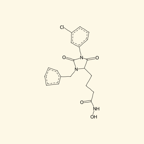 O=C(CCCC1C(=O)N(c2cccc(Cl)c2)C(=O)N1Cc1ccccc1)NO